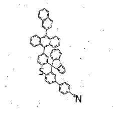 N#Cc1ccc(-c2ccc3c(c2)C2(c4cc(-c5c6ccccc6c(-c6ccc7ccccc7c6)c6ccccc56)ccc4S3)c3ccccc3-c3ccccc32)cc1